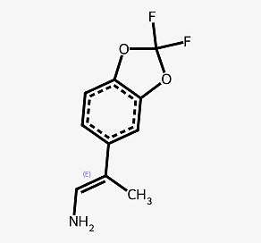 C/C(=C\N)c1ccc2c(c1)OC(F)(F)O2